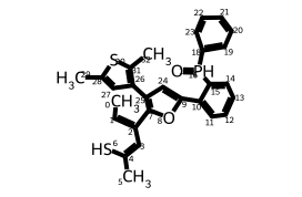 C/C=C(/C=C(/C)S)c1oc(-c2ccccc2[PH](=O)c2ccccc2)cc1-c1cc(C)sc1C